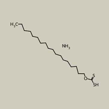 CCCCCCCCCCCCCCCCCCOC(=S)S.N